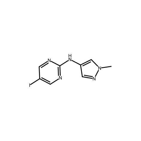 Cn1cc(Nc2ncc(I)cn2)cn1